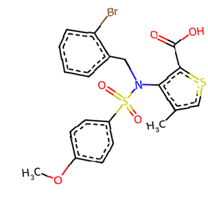 COc1ccc(S(=O)(=O)N(Cc2ccccc2Br)c2c(C)csc2C(=O)O)cc1